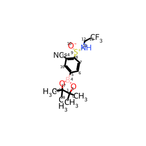 CC1(C)OB(c2ccc([S+]([O-])NCC(F)(F)F)c(C#N)c2)OC1(C)C